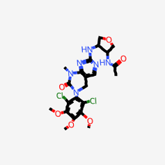 COc1c(Cl)c(N2Cc3cnc(NC4COCC4NC(C)=O)nc3N(C)C2=O)c(Cl)c(OC)c1OC